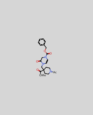 COC(=O)C1(CN2C=CN(C(=O)OCc3ccccc3)CC2=O)CCN(C(C)=O)CC1